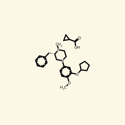 COc1ccc(N2CCN(C)[C@@H](Cc3ccccc3)C2)cc1OC1CCCC1.O=C(O)C1CC1